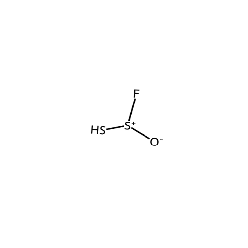 [O-][S+](F)S